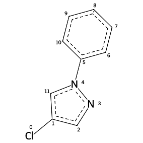 Clc1cnn(-c2cc[c]cc2)c1